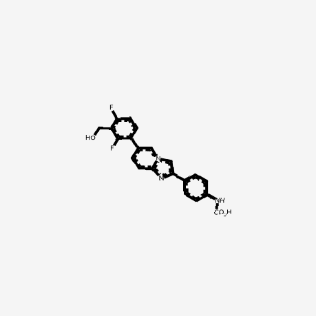 O=C(O)Nc1ccc(-c2cn3cc(-c4ccc(F)c(CO)c4F)ccc3n2)cc1